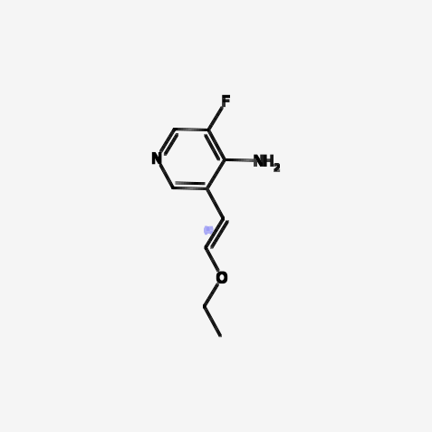 CCO/C=C/c1cncc(F)c1N